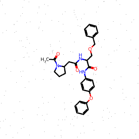 CC(=O)N1CCCC1CC(=O)NC(COCc1ccccc1)C(=O)Nc1ccc(Oc2ccccc2)cc1